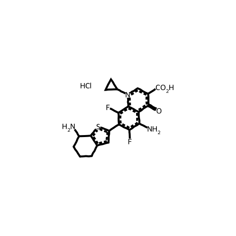 Cl.Nc1c(F)c(-c2cc3c(s2)C(N)CCC3)c(F)c2c1c(=O)c(C(=O)O)cn2C1CC1